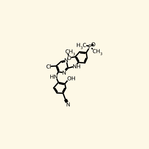 COc1cc(P(C)(C)=O)ccc1Nc1ncc(Cl)c(Nc2ccc(C#N)cc2O)n1